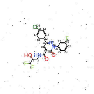 O=C(NCC(O)C(F)F)c1cc(-c2ccc(Cl)cc2)nn(-c2cccc(F)c2)c1=O